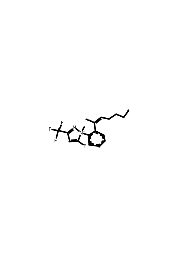 CCCC/C=C(/C)c1ccccc1[N+]1(C)N=C(C(F)(F)F)[C]=C1F